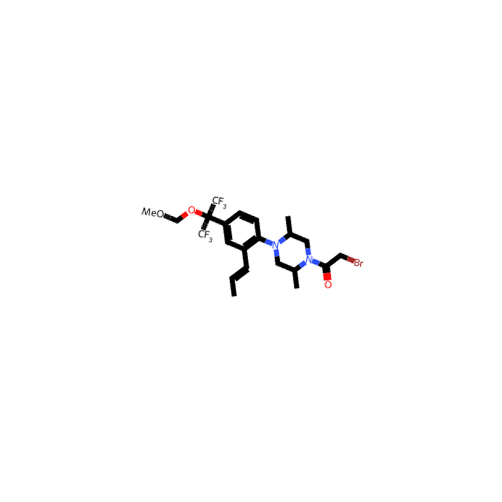 CC=Cc1cc(C(OCOC)(C(F)(F)F)C(F)(F)F)ccc1N1CC(C)N(C(=O)CBr)CC1C